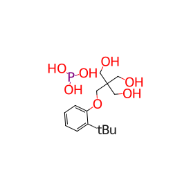 CC(C)(C)c1ccccc1OCC(CO)(CO)CO.OP(O)O